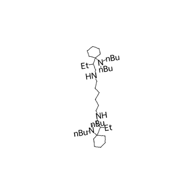 CCCCN(CCCC)C1(C(CC)CNCCCCCCNCC(CC)C2(N(CCCC)CCCC)CCCCC2)CCCCC1